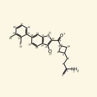 C=C(N)CCC1CN(C(=O)c2sc3cc(-c4cccc(C)c4F)ccc3c2Cl)C1